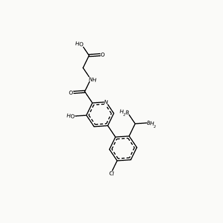 BC(B)c1ccc(Cl)cc1-c1cnc(C(=O)NCC(=O)O)c(O)c1